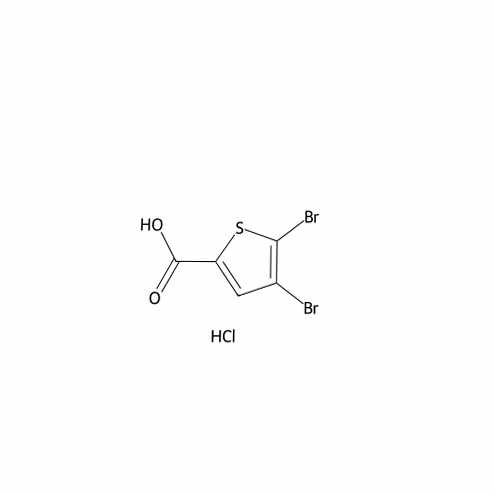 Cl.O=C(O)c1cc(Br)c(Br)s1